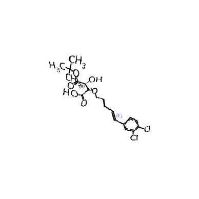 CC(C)(C)OC(=O)[C@H](O)[C@@H](OCCC/C=C/c1ccc(Cl)c(Cl)c1)C(=O)O